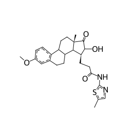 COc1ccc2c(c1)CCC1C2CC[C@]2(C)C(=O)C(O)[C@@H](CCC(=O)Nc3ncc(C)s3)C12